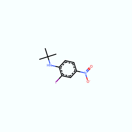 CC(C)(C)Nc1ccc([N+](=O)[O-])cc1I